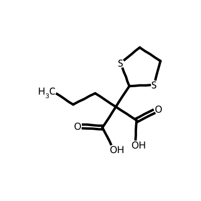 CCCC(C(=O)O)(C(=O)O)C1SCCS1